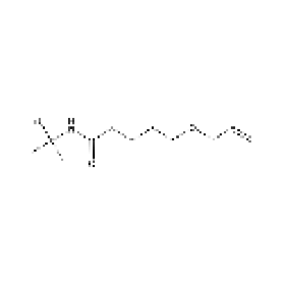 C=CCOCCCCC(=O)NC(C)(C)CC